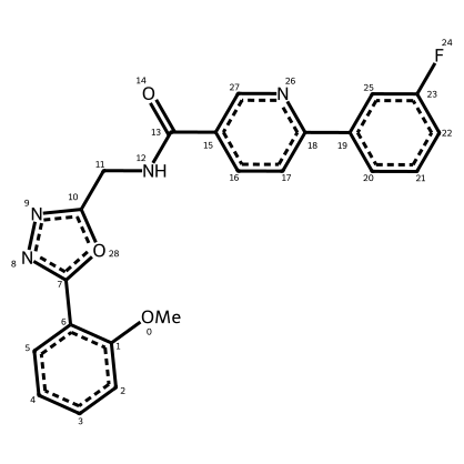 COc1ccccc1-c1nnc(CNC(=O)c2ccc(-c3cccc(F)c3)nc2)o1